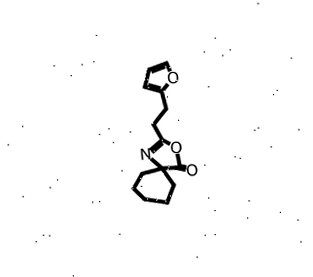 O=C1OC(CCc2ccco2)=NC12CCCCC2